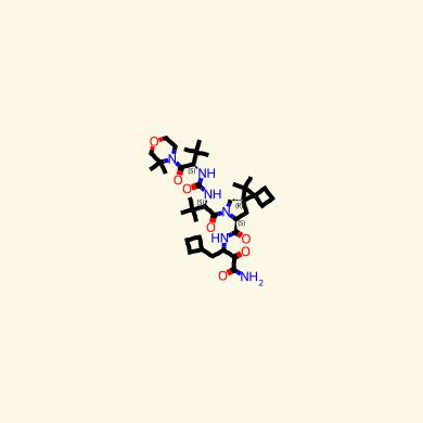 CC(C)(C)[C@H](NC(=O)N[C@H](C(=O)N1CCOCC1(C)C)C(C)(C)C)C(=O)N1C[C@]2(C[C@H]1C(=O)NC(CC1CCC1)C(=O)C(N)=O)C(C)(C)C21CCC1